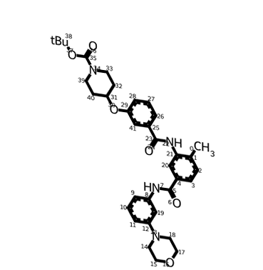 Cc1ccc(C(=O)Nc2cccc(N3CCOCC3)c2)cc1NC(=O)c1cccc(OC2CCN(C(=O)OC(C)(C)C)CC2)c1